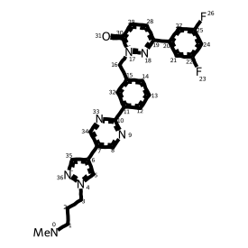 CNCCCn1cc(-c2cnc(-c3cccc(Cn4nc(-c5cc(F)cc(F)c5)ccc4=O)c3)nc2)cn1